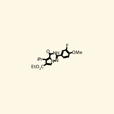 CCOC(=O)c1cn2nc(-c3ccc(OC)c(F)c3)[nH]c(=O)c2c1C(C)C